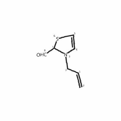 C=CCN1C=CSC1C=O